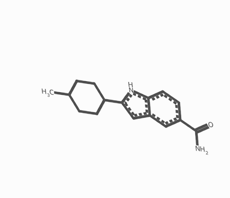 CC1CCC(c2cc3cc(C(N)=O)ccc3[nH]2)CC1